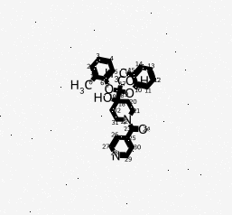 Cc1ccccc1OC(Oc1ccccc1C)(C(=O)O)C1(O)CCN(C(=O)c2ccncc2)CC1